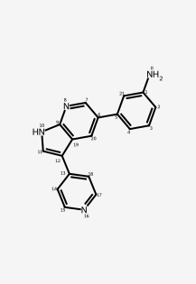 Nc1cccc(-c2cnc3[nH]cc(-c4ccncc4)c3c2)c1